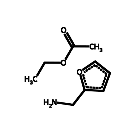 CCOC(C)=O.NCc1ccco1